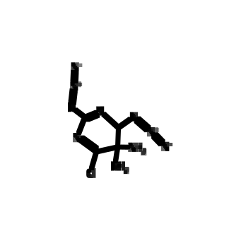 [N-]=[N+]=NC1=NC(N=[N+]=[N-])C(N)(N)C(Cl)=N1